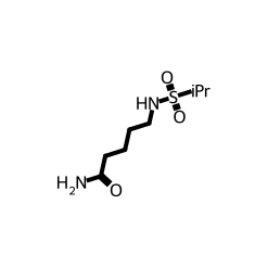 CC(C)S(=O)(=O)NCCCCC(N)=O